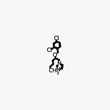 CCCCC(Cn1ccnc1)OCc1ccc(Cl)cc1Cl